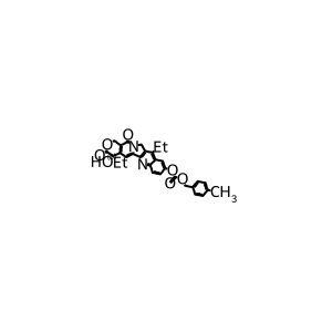 CCc1c2c(nc3ccc(OC(=O)OCc4ccc(C)cc4)cc13)-c1cc3c(c(=O)n1C2)COC(=O)[C@]3(O)CC